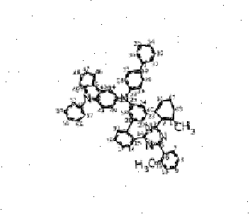 CC1=C(c2nc(-c3ccccc3C)nc(-c3ccccc3-c3cccc(N(c4ccc(-c5ccccc5)cc4)c4ccc5c(c4)c4ccccc4n5-c4ccccc4)c3)n2)C=CCC1